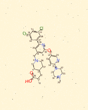 CC(CC1CCN(Cc2cc(Oc3ccc(N4CCN(C)CC4)nc3)nc(-c3cc(Cl)cc(Cl)c3)c2)CC1)C(=O)O